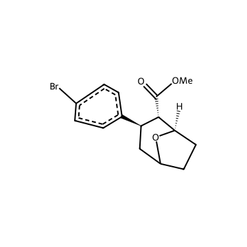 COC(=O)[C@@H]1[C@H]2CCC(C[C@H]1c1ccc(Br)cc1)O2